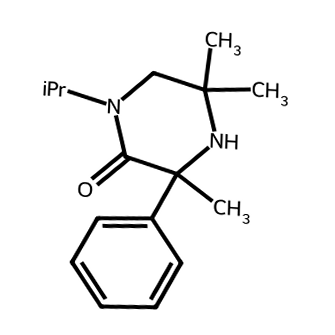 CC(C)N1CC(C)(C)NC(C)(c2ccccc2)C1=O